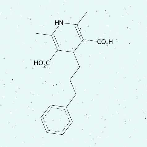 CC1=C(C(=O)O)C(CCCc2ccccc2)C(C(=O)O)=C(C)N1